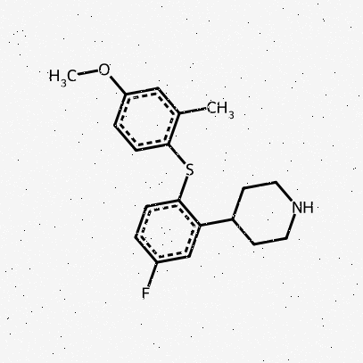 COc1ccc(Sc2ccc(F)cc2C2CCNCC2)c(C)c1